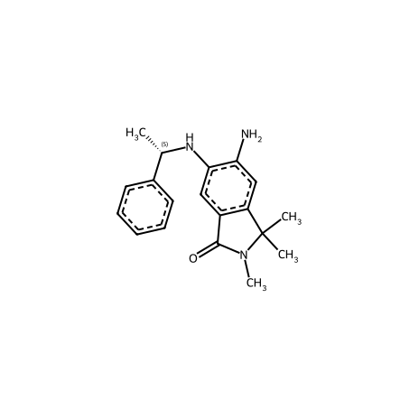 C[C@H](Nc1cc2c(cc1N)C(C)(C)N(C)C2=O)c1ccccc1